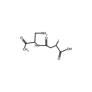 CC(=O)C(CN)NC(=O)CC(I)C(=O)O